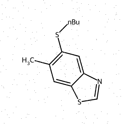 CCCCSc1cc2ncsc2cc1C